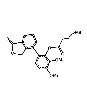 COc1ccc(-c2cccc3c2COC3=O)c(OC(=O)CCSC)c1OC